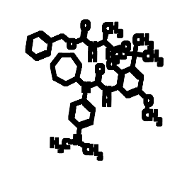 COc1cc(NC(=O)N(c2ccc(N(C)C)cc2)C2CCCCCC2)c(OC(=O)[C@H](C)NC(=O)OCc2ccccc2)c(C(C)(C)C)c1